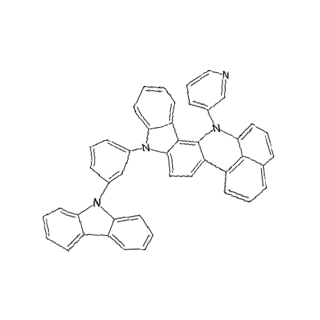 c1cncc(N2c3cccc4cccc(c34)-c3ccc4c(c32)c2ccccc2n4-c2cccc(-n3c4ccccc4c4ccccc43)c2)c1